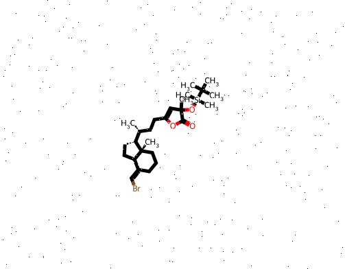 C[C@H](CCC1=CC(C)(O[Si](C)(C)C(C)(C)C)C(=O)O1)[C@H]1CCC2C(=CBr)CCC[C@]21C